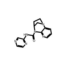 O=C(Nc1cnccn1)N1c2ncccc2N2CCC1C2